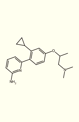 CC(CN(C)C)Oc1ccc(-c2cccc(N)n2)c(C2CC2)c1